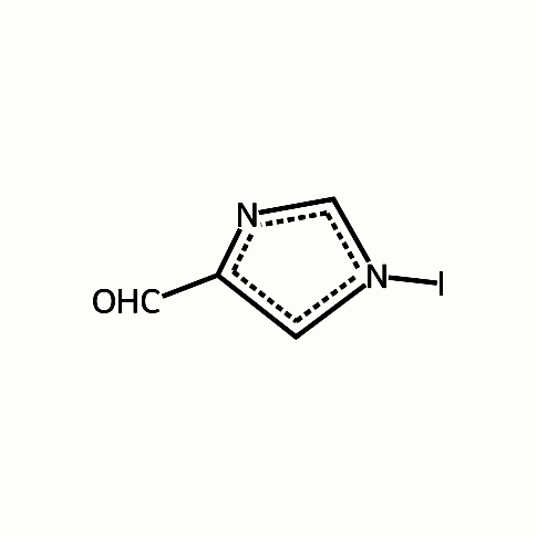 O=Cc1cn(I)cn1